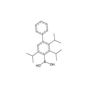 CC(C)c1cc(-c2ccccc2)c(C(C)C)c(C(C)C)c1B(O)O